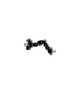 CCC1c2c(c(-c3cc4ccc(N5CCC6(CCN(C(=O)C7CCN(c8ccc(C9CCC(=O)NC9=O)cn8)CC7)CC6)C5=O)cc4[nH]3)nn2C2CCCCO2)C[C@H]2C1C2(F)F